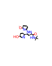 COc1cccc(-n2nc(C(=O)NC(C)(C)C)cc2-c2ccc(O)cn2)n1